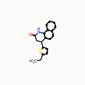 CCc1ccc(C2CC(=O)Nc3c2ccc2ccccc32)s1